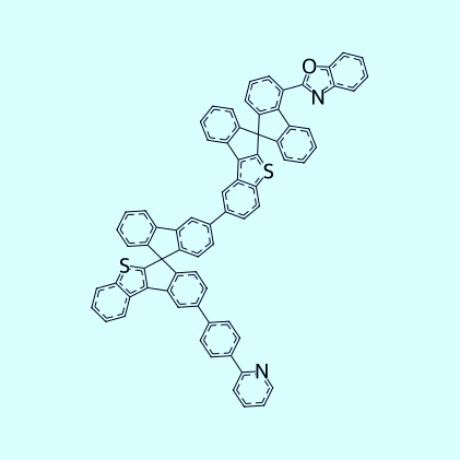 c1ccc(-c2ccc(-c3ccc4c(c3)-c3c(sc5ccccc35)C43c4ccccc4-c4cc(-c5ccc6sc7c(c6c5)-c5ccccc5C75c6ccccc6-c6c(-c7nc8ccccc8o7)cccc65)ccc43)cc2)nc1